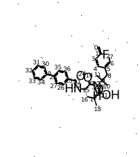 C=C(F)/C=C\C(=C/C)CC(C)(C)NC(=O)[C@H](C[C@H](C)C(=O)O)NC(=O)c1ccc(-c2ccccc2)cc1